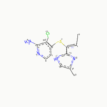 C/C=C(\Sc1ccnc(N)c1Cl)c1nc(C)c[nH]1